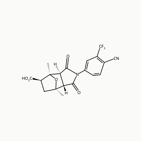 C[C@]12O[C@](C)(C[C@H]1C(=O)O)[C@H]1C(=O)N(c3ccc(C#N)c(C(F)(F)F)c3)C(=O)[C@@H]12